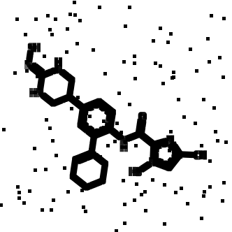 N#Cc1cn(S)c(C(=O)Nc2ccc(C3CNC(=NS)NC3)cc2C2=CCCCC2)n1